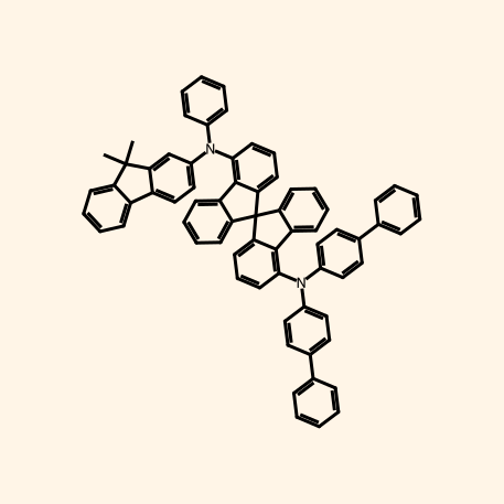 CC1(C)c2ccccc2-c2ccc(N(c3ccccc3)c3cccc4c3-c3ccccc3C43c4ccccc4-c4c(N(c5ccc(-c6ccccc6)cc5)c5ccc(-c6ccccc6)cc5)cccc43)cc21